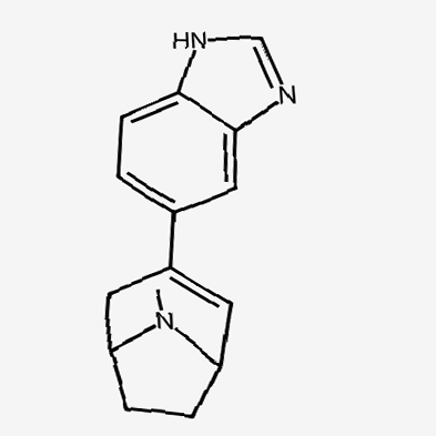 CN1C2C=C(c3ccc4[nH]cnc4c3)CC1CC2